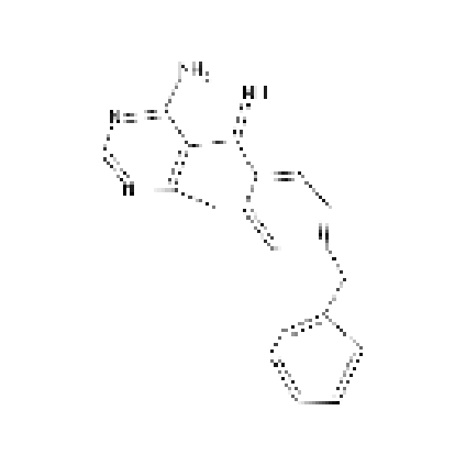 Cc1ncnc(N)c1C(=N)c1ccc(Cc2ccccc2)cc1